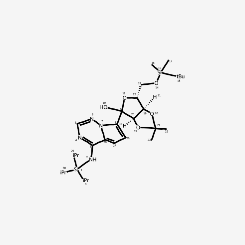 CC(C)[Si](Nc1ncnn2c(C3(O)O[C@H](CO[Si](C)(C)C(C)(C)C)[C@H]4OC(C)(C)O[C@H]43)ccc12)(C(C)C)C(C)C